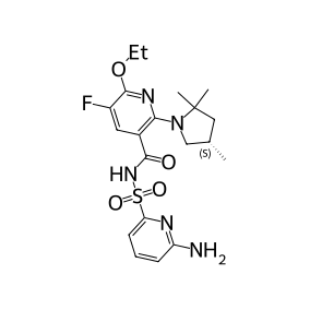 CCOc1nc(N2C[C@@H](C)CC2(C)C)c(C(=O)NS(=O)(=O)c2cccc(N)n2)cc1F